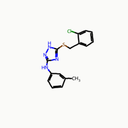 Cc1cccc(Nc2n[nH]c(SCc3ccccc3Cl)n2)c1